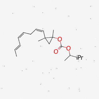 CC=C/C=C\C/C=C\C1(C)CC1(C)OC(=O)OC(C)C(C)C